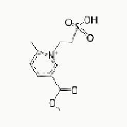 COC(=O)c1ccc(C)[n+](CCS(=O)(=O)O)c1